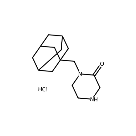 Cl.O=C1CNCCN1CC12CC3CC(CC(C3)C1)C2